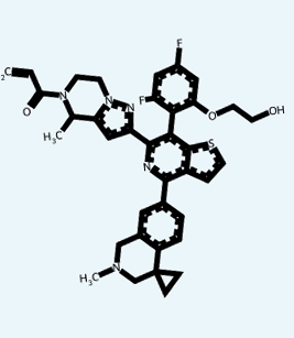 C=CC(=O)N1CCn2nc(-c3nc(-c4ccc5c(c4)CN(C)CC54CC4)c4ccsc4c3-c3c(F)cc(F)cc3OCCO)cc2C1C